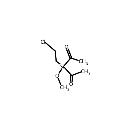 CO[Si](CCCl)(C(C)=O)C(C)=O